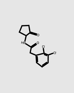 O=C(Cc1cccc(Cl)c1Cl)NC1CCCC1=O